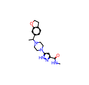 CNC(=O)c1cc(N2CCN(C(C)c3ccc4c(c3)OCC4)CC2)[nH]n1